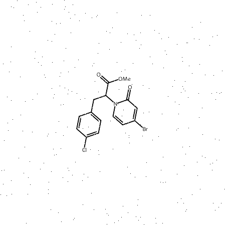 COC(=O)C(Cc1ccc(Cl)cc1)n1ccc(Br)cc1=O